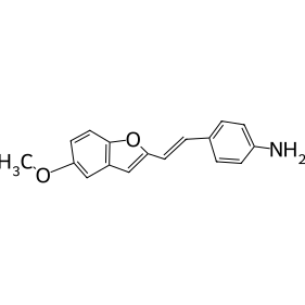 COc1ccc2oc(/C=C/c3ccc(N)cc3)cc2c1